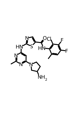 Cc1nc(Nc2ncc(C(=O)Nc3c(C)cc(F)c(F)c3Cl)s2)cc(N2CCC(N)C2)n1